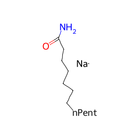 CCCCCCCCCCCC(N)=O.[Na]